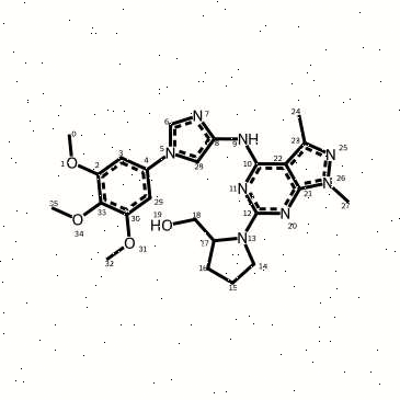 COc1cc(-n2cnc(Nc3nc(N4CCCC4CO)nc4c3c(C)nn4C)c2)cc(OC)c1OC